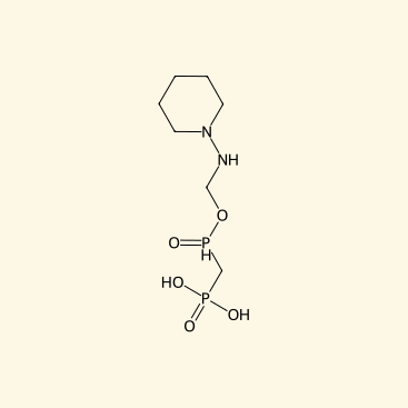 O=[PH](CP(=O)(O)O)OCNN1CCCCC1